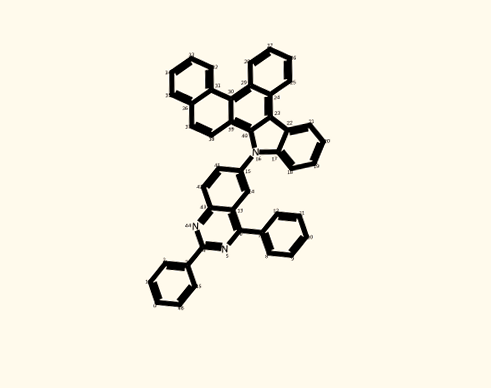 c1ccc(-c2nc(-c3ccccc3)c3cc(-n4c5ccccc5c5c6ccccc6c6c7ccccc7ccc6c54)ccc3n2)cc1